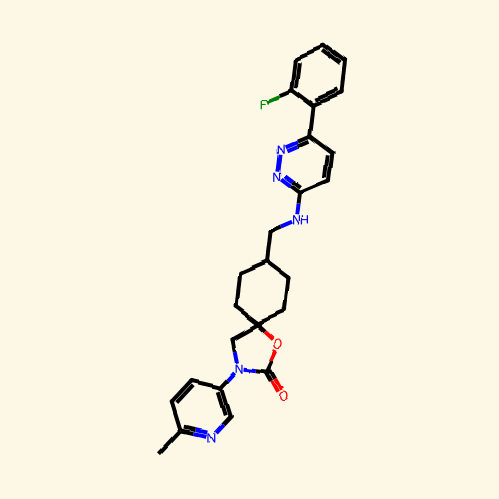 Cc1ccc(N2CC3(CCC(CNc4ccc(-c5ccccc5F)nn4)CC3)OC2=O)cn1